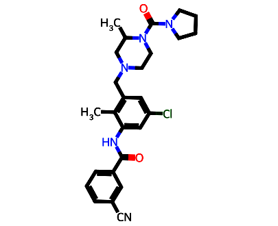 Cc1c(CN2CCN(C(=O)N3CCCC3)C(C)C2)cc(Cl)cc1NC(=O)c1cccc(C#N)c1